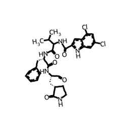 CC(C)C(NC(=O)c1cc2c(Cl)cc(Cl)cc2[nH]1)C(=O)N[C@@H](Cc1ccccc1)C(=O)N[C@H](C=O)C[C@@H]1CCNC1=O